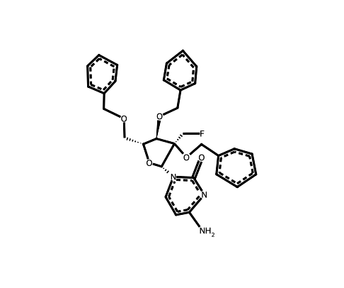 Nc1ccn([C@@H]2O[C@H](COCc3ccccc3)[C@@H](OCc3ccccc3)[C@@]2(CF)OCc2ccccc2)c(=O)n1